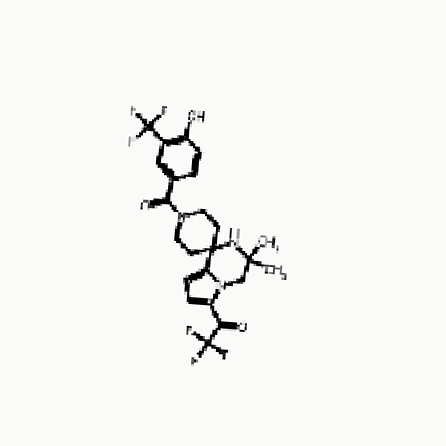 CC1(C)Cn2c(C(=O)C(F)(F)F)ccc2C2(CCN(C(=O)c3ccc(O)c(C(F)(F)F)c3)CC2)N1